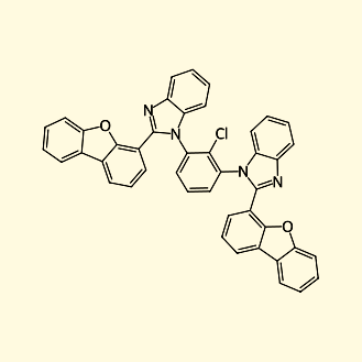 Clc1c(-n2c(-c3cccc4c3oc3ccccc34)nc3ccccc32)cccc1-n1c(-c2cccc3c2oc2ccccc23)nc2ccccc21